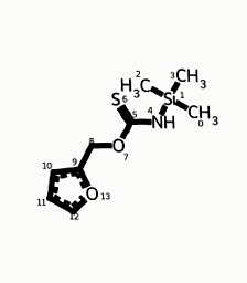 C[Si](C)(C)NC(=S)OCc1ccco1